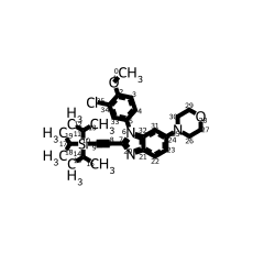 COc1ccc(-n2c(C#C[Si](C(C)C)(C(C)C)C(C)C)nc3ccc(N4CCOCC4)cc32)cc1Cl